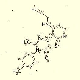 C#CCNc1ccnc2sc3c(=O)n(-c4ccc(C)cc4)c(C)nc3c12